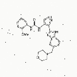 COc1ccccc1NC(=O)Nc1c[nH]nc1-c1nc2cc(CN3CCOCC3)ccc2[nH]1